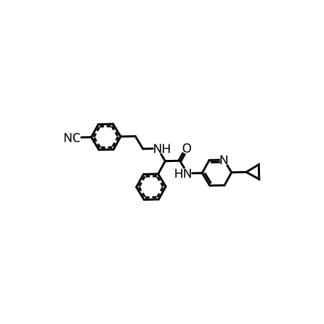 N#Cc1ccc(CCNC(C(=O)NC2=CCC(C3CC3)N=C2)c2ccccc2)cc1